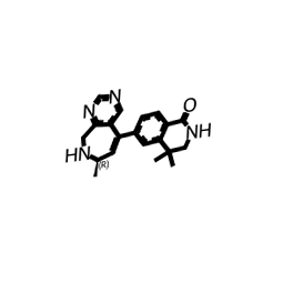 C[C@@H]1C=C(c2ccc3c(c2)C(C)(C)CNC3=O)c2cncnc2CN1